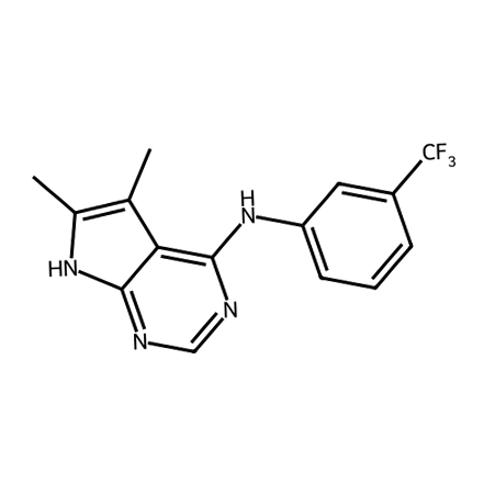 Cc1[nH]c2ncnc(Nc3cccc(C(F)(F)F)c3)c2c1C